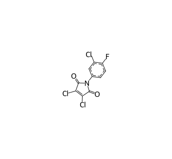 O=C1C(Cl)=C(Cl)C(=O)N1c1ccc(F)c(Cl)c1